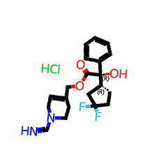 Cl.N=CN1CC=C(COC(=O)[C@](O)(c2ccccc2)[C@@H]2CCC(F)(F)C2)CC1